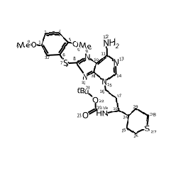 COc1ccc(OC)c(Sc2nc3c(N)ncn(CCC(NC(=O)OC(C)(C)C)C4CCSCC4)c-3n2)c1